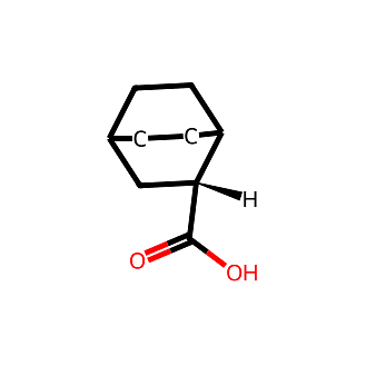 O=C(O)[C@@H]1CC2CCC1CC2